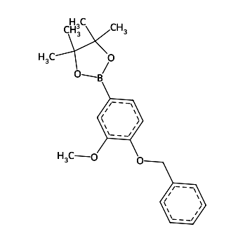 COc1cc(B2OC(C)(C)C(C)(C)O2)ccc1OCc1ccccc1